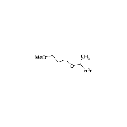 CCCC(C)OCCCOC